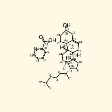 CC(C)CCCC(C)[C@H]1CC[C@H]2[C@@H]3CC=C4C[C@@H](O)CC[C@]4(C)[C@H]3CC[C@]12C.O=C(O)c1ccccn1